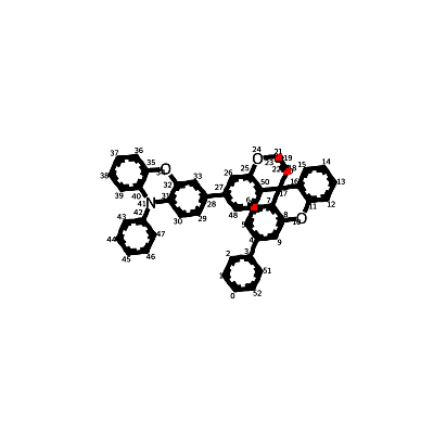 c1ccc(-c2ccc3c(c2)Oc2ccccc2C32c3ccccc3Oc3cc(-c4ccc5c(c4)Oc4ccccc4N5c4ccccc4)ccc32)cc1